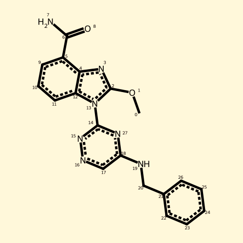 COc1nc2c(C(N)=O)cccc2n1-c1nncc(NCc2ccccc2)n1